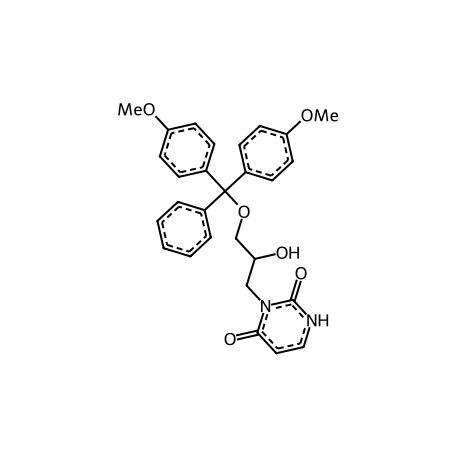 COc1ccc(C(OCC(O)Cn2c(=O)cc[nH]c2=O)(c2ccccc2)c2ccc(OC)cc2)cc1